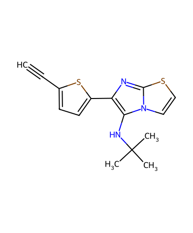 C#Cc1ccc(-c2nc3sccn3c2NC(C)(C)C)s1